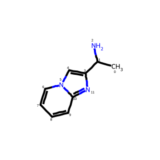 CC(N)c1cn2ccccc2n1